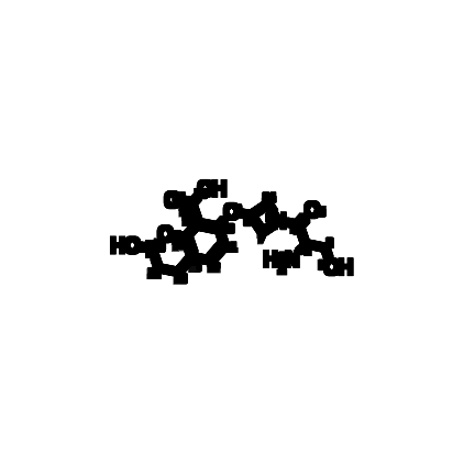 N[C@H](CO)C(=O)N1CC(Oc2ccc3c(c2C(=O)O)OB(O)CC3)C1